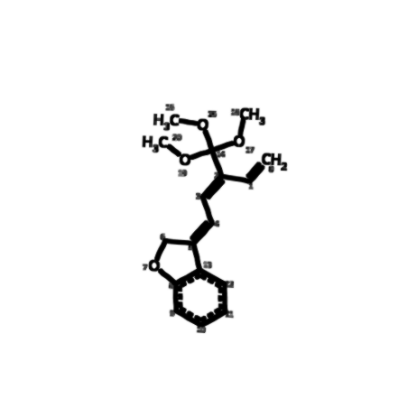 C=C/C(=C\C=C1/COc2ccccc21)C(OC)(OC)OC